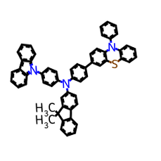 CC1(C)c2ccccc2-c2ccc(N(c3ccc(-c4ccc5c(c4)Sc4ccccc4N5c4ccccc4)cc3)c3ccc(-n4c5ccccc5c5ccccc54)cc3)cc21